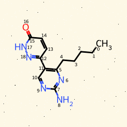 CCCCCc1nc(N)ncc1-c1ccc(=O)[nH]n1